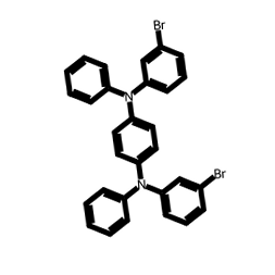 Brc1cccc(N(c2ccccc2)c2ccc(N(c3ccccc3)c3cccc(Br)c3)cc2)c1